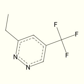 CCc1cc(C(F)(F)F)cnn1